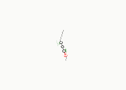 CCCCCCCCCc1ccc(-c2ccc(-c3ccc(C4OCC(CCC)CO4)c(F)c3F)cc2)c(F)c1F